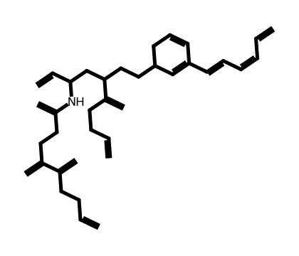 C=C/C=C\C=C\C1=CC(CCC(CC(C=C)NC(=C)CCC(=C)C(=C)CCC=C)C(=C)CCC=C)CC=C1